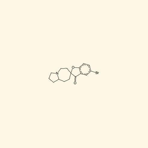 O=C1c2cc(Br)ccc2OC12CCC1CCCN1CC2